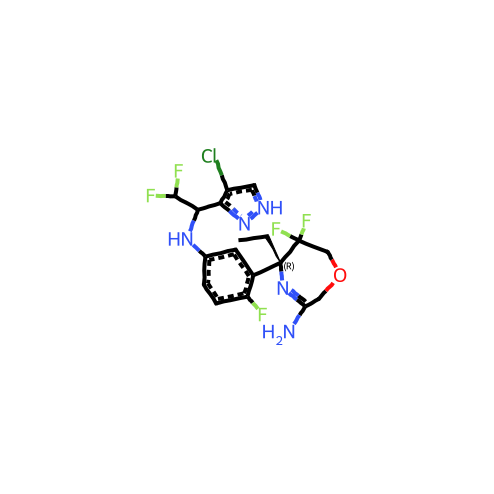 CC[C@]1(c2cc(NC(c3n[nH]cc3Cl)C(F)F)ccc2F)N=C(N)COCC1(F)F